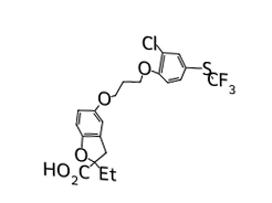 CCC1(C(=O)O)Cc2cc(OCCCOc3ccc(SC(F)(F)F)cc3Cl)ccc2O1